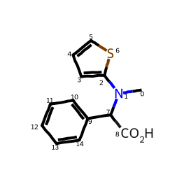 CN(c1cccs1)C(C(=O)O)c1ccccc1